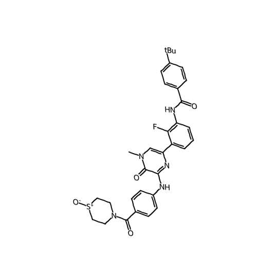 Cn1cc(-c2cccc(NC(=O)c3ccc(C(C)(C)C)cc3)c2F)nc(Nc2ccc(C(=O)N3CC[S+]([O-])CC3)cc2)c1=O